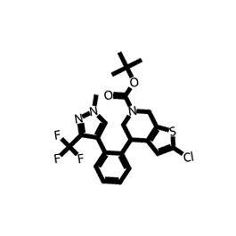 Cn1cc(-c2ccccc2C2CN(C(=O)OC(C)(C)C)Cc3sc(Cl)cc32)c(C(F)(F)F)n1